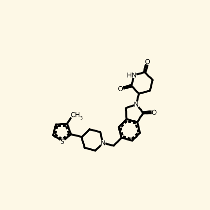 Cc1ccsc1C1CCN(Cc2ccc3c(c2)CN(C2CCC(=O)NC2=O)C3=O)CC1